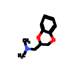 CN(C)CC1COc2ccccc2O1